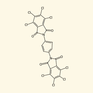 O=C1c2c(Cl)c(Cl)c(Cl)c(Cl)c2C(=O)N1c1ccc(N2C(=O)c3c(Cl)c(Cl)c(Cl)c(Cl)c3C2=O)cc1